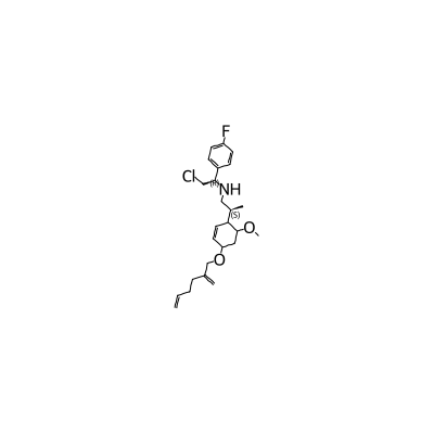 C=CCCC(=C)COC1C=CC([C@H](C)CN[C@@H](CCl)c2ccc(F)cc2)C(OC)C1